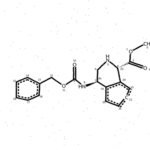 COC(=O)[C@H]1NC[C@H](NC(=O)OCc2ccccc2)c2ccccc21